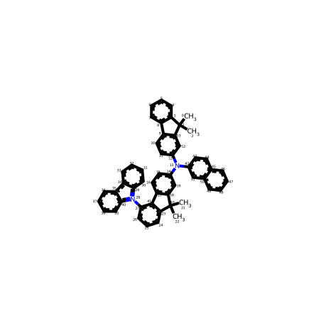 CC1(C)c2ccccc2-c2ccc(N(c3ccc4c(c3)C(C)(C)c3cccc(-n5c6ccccc6c6ccccc65)c3-4)c3ccc4ccccc4c3)cc21